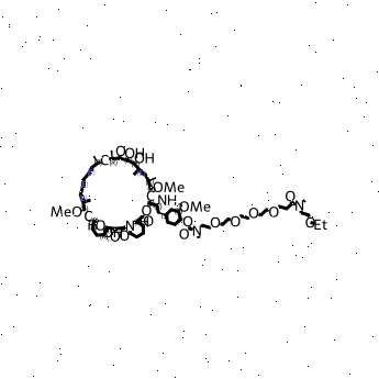 CCOCCN(C)C(=O)CCOCCOCCOCCOCCN(C)C(=O)O[C@@H]1CC[C@@H](C[C@@H](N)[C@@H]2C[C@@H](OC)[C@H](C)/C=C(\C)[C@@H](O)[C@@H](O)C(=O)[C@H](C)C[C@H](C)/C=C/C=C/C=C(\C)[C@@H](OC)C[C@@H]3CC[C@@H](C)[C@@](O)(O3)C(=O)C(=O)N3CCCC[C@H]3C(=O)O2)C[C@H]1OC